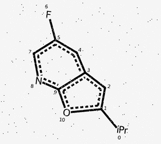 CC(C)c1cc2cc(F)cnc2o1